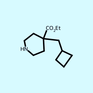 CCOC(=O)C1(CC2CCC2)CCNCC1